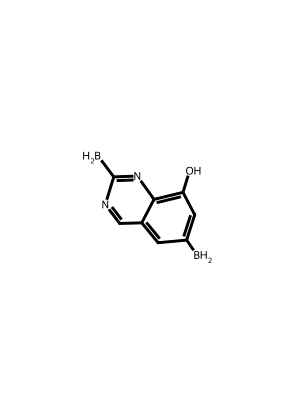 Bc1cc(O)c2nc(B)ncc2c1